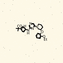 CCOc1ccccc1OC1CCCN(c2cncc(Nc3ccc(C(C)(C)C(=O)O)cc3)n2)C1